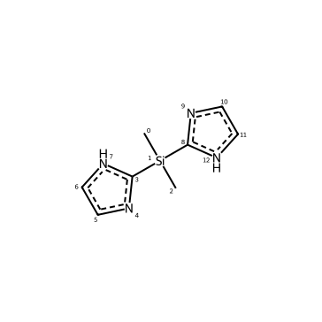 C[Si](C)(c1ncc[nH]1)c1ncc[nH]1